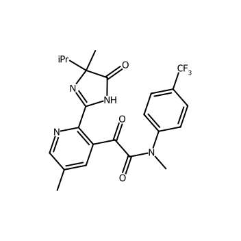 Cc1cnc(C2=NC(C)(C(C)C)C(=O)N2)c(C(=O)C(=O)N(C)c2ccc(C(F)(F)F)cc2)c1